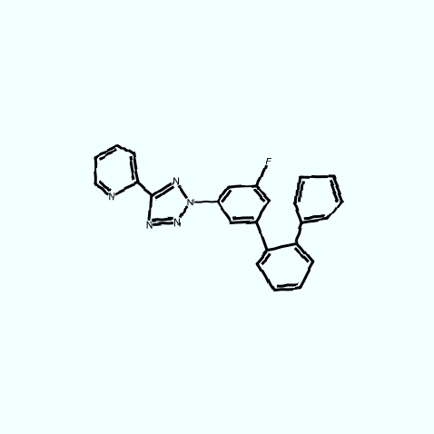 Fc1cc(-c2ccccc2-c2ccccc2)cc(-n2nnc(-c3ccccn3)n2)c1